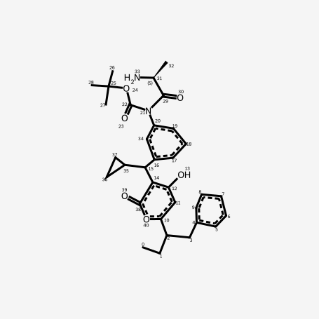 CCC(Cc1ccccc1)c1cc(O)c(C(c2cccc(N(C(=O)OC(C)(C)C)C(=O)[C@H](C)N)c2)C2CC2)c(=O)o1